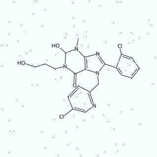 CN1c2nc(-c3ccccc3Cl)n(Cc3ccc(Cl)cn3)c2C(=O)N(CCCO)C1O